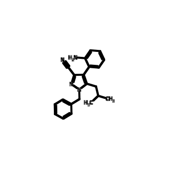 CC(C)Cc1c(-c2ccccc2N)c(C#N)nn1Cc1ccccc1